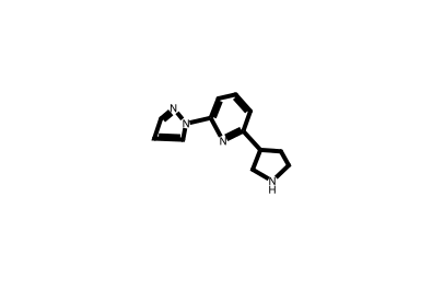 c1cc(C2CCNC2)nc(-n2cccn2)c1